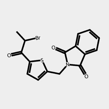 CC(Br)C(=O)c1ccc(CN2C(=O)c3ccccc3C2=O)s1